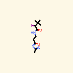 Cc1noc(CCNC(=O)C(I)C(C)(C)C)n1